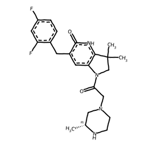 C[C@@H]1CN(CC(=O)N2CC(C)(C)c3[nH]c(=O)c(Cc4ccc(F)cc4F)cc32)CCN1